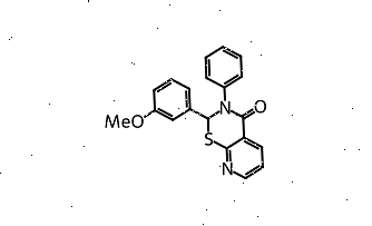 COc1cccc(C2Sc3ncccc3C(=O)N2c2ccccc2)c1